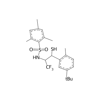 Cc1cc(C)c(S(=O)(=O)NC(C(S)c2cc(C(C)(C)C)ccc2C)C(F)(F)F)c(C)c1